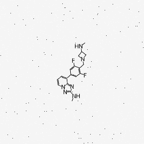 CNc1nc2c(-c3cc(F)c(CN4CC(NC)C4)c(F)c3)cccn2n1